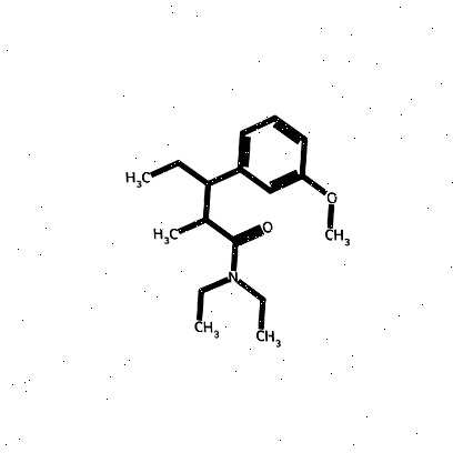 CCC(c1cccc(OC)c1)C(C)C(=O)N(CC)CC